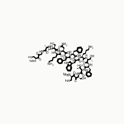 CN[C@@H](CS)C(=O)C(=O)CNC(=O)[C@H](C)NN[C@@H](CS)C(=O)NC(CCCCN)C(=O)N[C@@H](CC(N)=O)C(=O)NC(Cc1ccccc1)C(=O)N[C@@H](Cc1ccccc1)C(=O)NC(Cc1c[nH]c2ccccc12)C(=O)N[C@@H](CCCCN)C(=O)N[C@H](C(=O)N[C@@H](Cc1ccccc1)C(=O)N[C@H](C(=O)N[C@@H](CO)C(=O)C(=O)[C@H](CS)NC)[C@@H](C)O)[C@@H](C)O